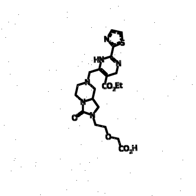 CCOC(=O)C1=C(CN2CCN3C(=O)N(CCOCC(=O)O)CC3C2)NC(c2nccs2)=NC1